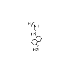 CNCCNc1cccc2c(SO)cccc12